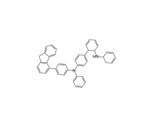 C1=CCC(NC2C=CC=CC2c2ccc(N(c3ccccc3)c3ccc(-c4cccc5c4-c4ccccc4C5)cc3)cc2)C=C1